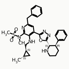 C[C@H]1C[C@@H]1CNc1c(-c2nnc([C@H]3NCCC[C@@H]3c3ccccc3)o2)cc(Cc2ccccc2)nc1N(C)S(C)(=O)=O